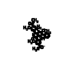 C=CC(=O)N1C[C@H](C)N(c2nc(=O)n(-c3c(C)cc([S+](C)[O-])cc3C(C)C)c3nc(-c4ccccc4C)c(Cl)cc23)C[C@H]1C